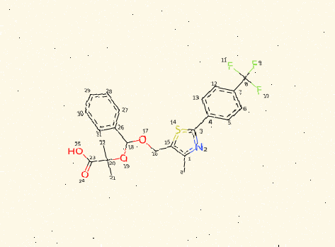 Cc1nc(-c2ccc(C(F)(F)F)cc2)sc1COC(OC(C)(C)C(=O)O)c1ccccc1